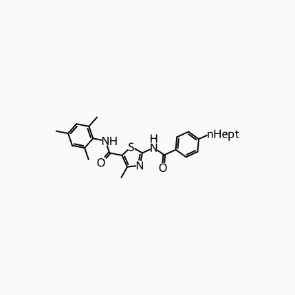 CCCCCCCc1ccc(C(=O)Nc2nc(C)c(C(=O)Nc3c(C)cc(C)cc3C)s2)cc1